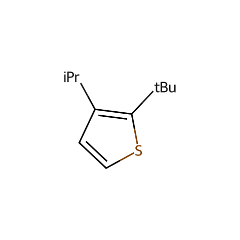 CC(C)c1ccsc1C(C)(C)C